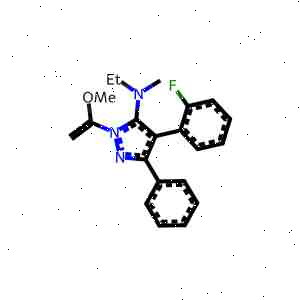 C=C(OC)n1nc(-c2ccccc2)c(-c2ccccc2F)c1N(C)CC